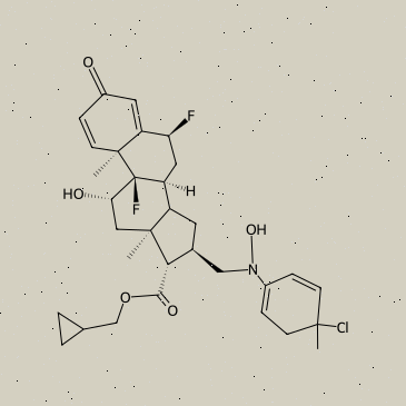 CC1(Cl)C=CC(N(O)C[C@@H]2CC3[C@@H]4C[C@H](F)C5=CC(=O)C=C[C@]5(C)[C@@]4(F)[C@@H](O)C[C@]3(C)[C@H]2C(=O)OCC2CC2)=CC1